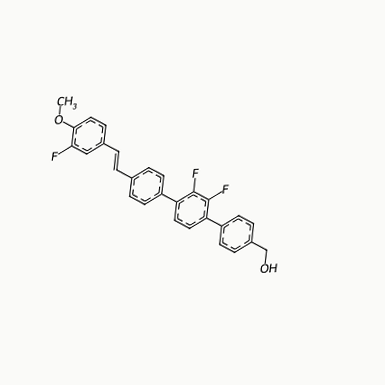 COc1ccc(/C=C/c2ccc(-c3ccc(-c4ccc(CO)cc4)c(F)c3F)cc2)cc1F